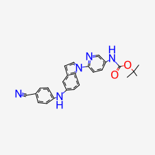 CC(C)(C)OC(=O)Nc1ccc(-n2ccc3cc(Nc4ccc(C#N)cc4)ccc32)nc1